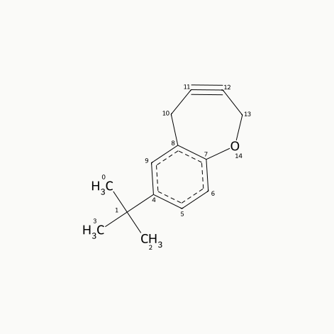 CC(C)(C)c1ccc2c(c1)CC#CCO2